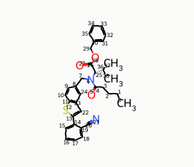 CCCCC(=O)N(Cc1ccc2sc(-c3ccccc3C#N)cc2c1)[C@H](C(=O)OCc1ccccc1)C(C)C